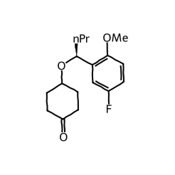 CCC[C@H](OC1CCC(=O)CC1)c1cc(F)ccc1OC